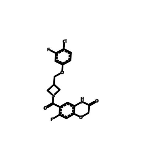 O=C1COc2cc(F)c(C(=O)N3CC(COc4ccc(Cl)c(F)c4)C3)cc2N1